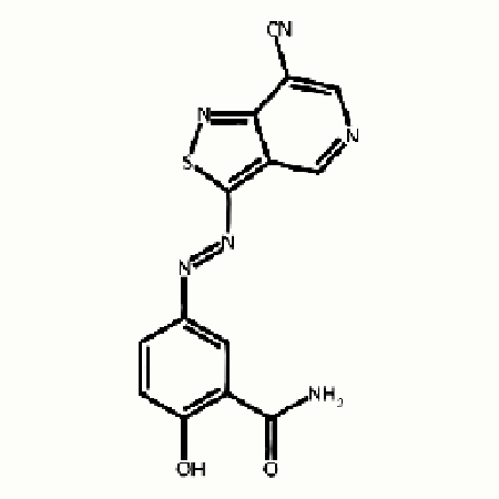 N#Cc1cncc2c(/N=N/c3ccc(O)c(C(N)=O)c3)snc12